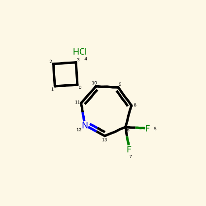 C1CCC1.Cl.FC1(F)C=CC=CN=C1